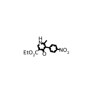 CCOC(=O)c1c[nH]c(C)c(-c2ccc([N+](=O)[O-])cc2)c1=O